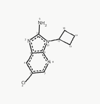 Nc1nc2cc(Cl)cnc2n1C1CCC1